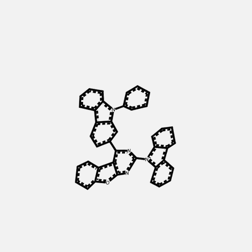 c1ccc(-n2c3ccccc3c3ccc(-c4nc(-n5c6ccccc6c6ccccc65)nc5oc6ccccc6c45)cc32)cc1